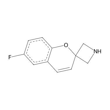 Fc1ccc2c(c1)C=CC1(CNC1)O2